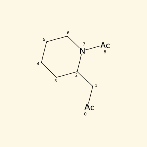 CC(=O)CC1CCCCN1C(C)=O